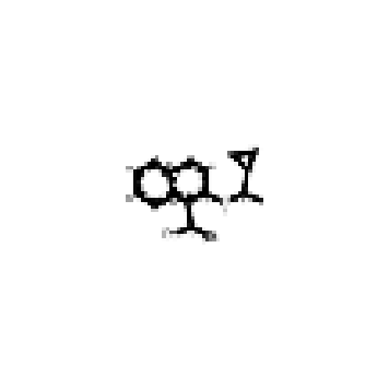 CCC(CC)c1c(OC(C)C2CC2)ccc2ccccc12